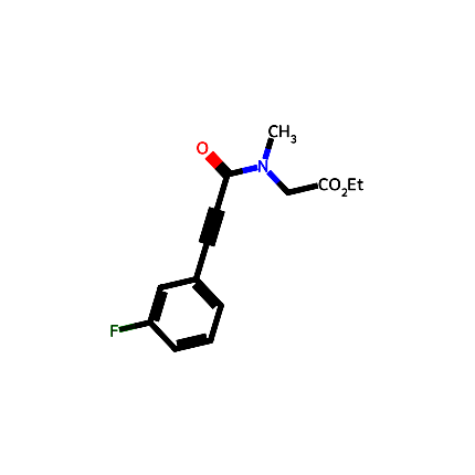 CCOC(=O)CN(C)C(=O)C#Cc1cccc(F)c1